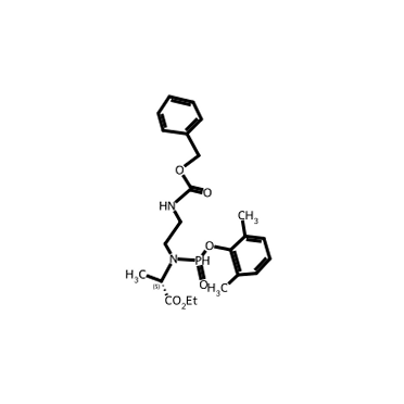 CCOC(=O)[C@H](C)N(CCNC(=O)OCc1ccccc1)[PH](=O)Oc1c(C)cccc1C